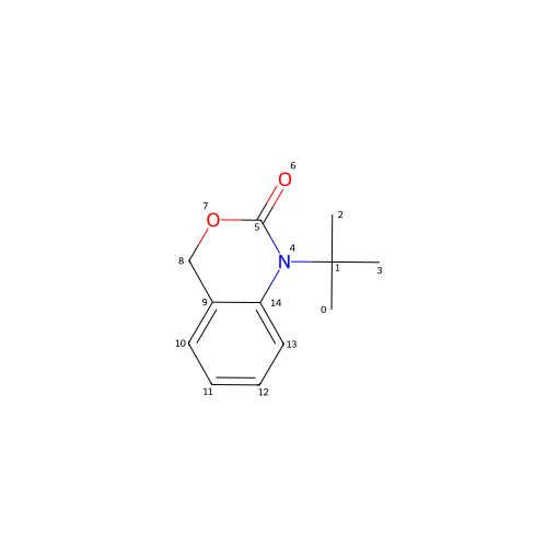 CC(C)(C)N1C(=O)OCc2ccccc21